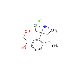 CCc1ccccc1C(N)(CC)CC.Cl.OCCO